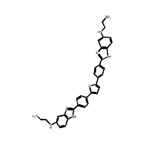 NCCNc1ccc2[nH]c(-c3ccc(-c4ccc(-c5ccc(-c6nc7cc(NCCN)ccc7[nH]6)cc5)o4)cc3)nc2c1